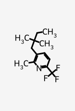 CCC(C)(C)Cc1ccc(C(F)(F)F)nc1C